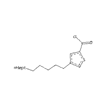 CCCCCCCCCCCCc1csc(C(=O)Cl)c1